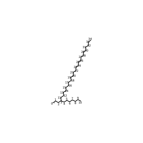 [CH2]CCC(CCCCCCC)CCCCCCCCCCCCCCCCCCCCCCCC